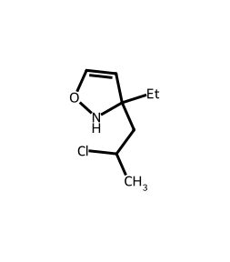 CCC1(CC(C)Cl)C=CON1